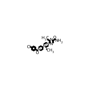 CCc1nc(C(N)=O)cnc1N1CCN(C2CCN(C(=O)c3ccc(Cl)cc3)CC2)[C@@H](CC)C1